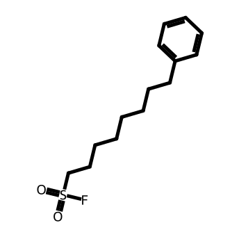 O=S(=O)(F)CCCCCCCCc1ccccc1